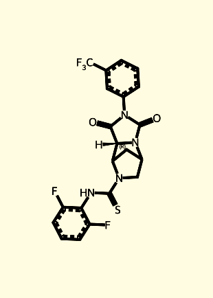 O=C1[C@H]2C3CC(CN3C(=S)Nc3c(F)cccc3F)N2C(=O)N1c1cccc(C(F)(F)F)c1